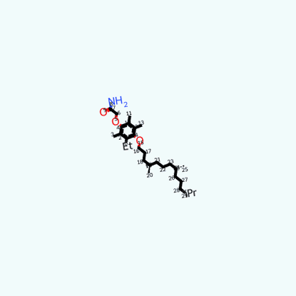 CCc1c(C)c(OCC(N)=O)c(C)c(C)c1OCCC[C@H](C)CCC[C@H](C)CCCC(C)C